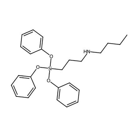 CCCCNCCC[Si](Oc1ccccc1)(Oc1ccccc1)Oc1ccccc1